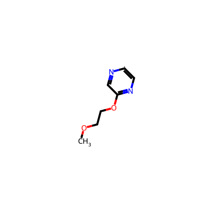 COCCOc1cn[c]cn1